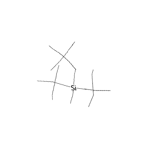 CC(C)(C)C[Si](C)(C(C)(C)C)C(C)(C)C